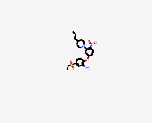 CCCC1CCN(c2cc(Oc3ccc(S(=O)(=O)CC)cc3N)ccc2[N+](=O)[O-])CC1